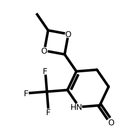 CC1OC(C2=C(C(F)(F)F)NC(=O)CC2)O1